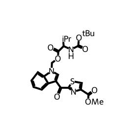 COC(=O)c1csc(C(=O)c2cn(COC(=O)C(NC(=O)OC(C)(C)C)C(C)C)c3ccccc23)n1